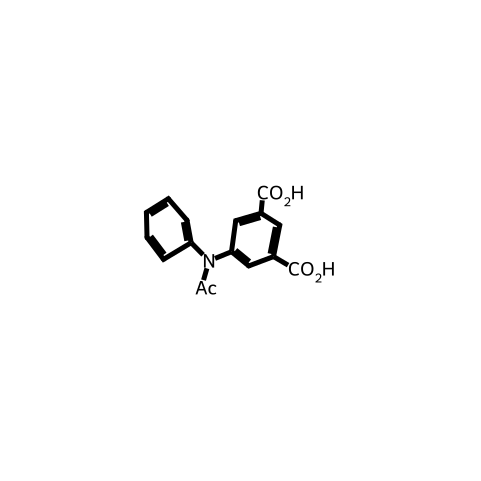 CC(=O)N(c1ccccc1)c1cc(C(=O)O)cc(C(=O)O)c1